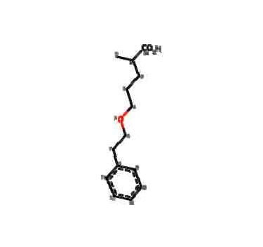 CC(CCCOCCc1ccccc1)C(=O)O